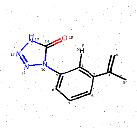 [3H]c1c(C(=C)C)cccc1-n1nn[nH]c1=O